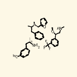 CC(Cc1ccccc1)N(C)Cc1ccco1.CNCC(OC)c1cccc(C(F)(F)F)c1.C[C@H](N)Cc1cccc(O)c1